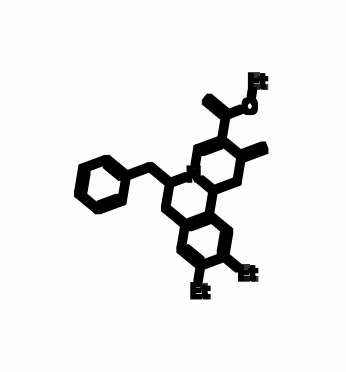 C=C1CC2c3cc(CC)c(CC)cc3CC(Cc3ccccc3)N2C=C1C(=C)OCC